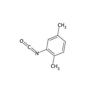 Cc1ccc(C)c(N=C=O)c1